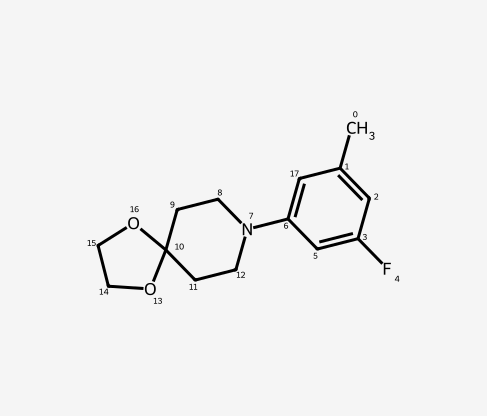 Cc1cc(F)cc(N2CCC3(CC2)OCCO3)c1